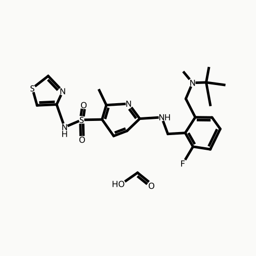 Cc1nc(NCc2c(F)cccc2CN(C)C(C)(C)C)ccc1S(=O)(=O)Nc1cscn1.O=CO